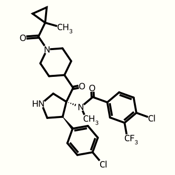 CN(C(=O)c1ccc(Cl)c(C(F)(F)F)c1)[C@@]1(C(=O)C2CCN(C(=O)C3(C)CC3)CC2)CNC[C@@H]1c1ccc(Cl)cc1